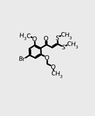 COCOc1cc(Br)cc(OC)c1C(=O)C=C(SC)SC